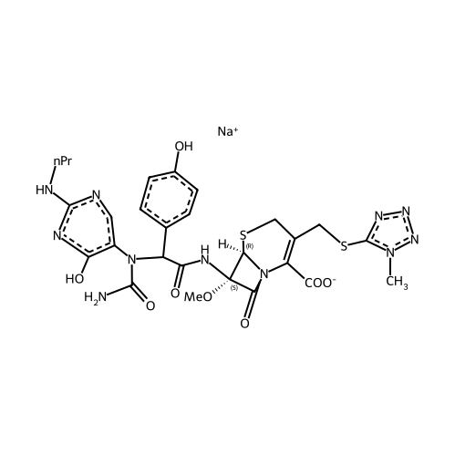 CCCNc1ncc(N(C(N)=O)C(C(=O)N[C@]2(OC)C(=O)N3C(C(=O)[O-])=C(CSc4nnnn4C)CS[C@@H]32)c2ccc(O)cc2)c(O)n1.[Na+]